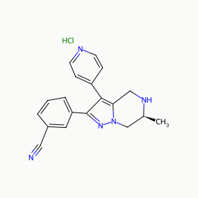 C[C@H]1Cn2nc(-c3cccc(C#N)c3)c(-c3ccncc3)c2CN1.Cl